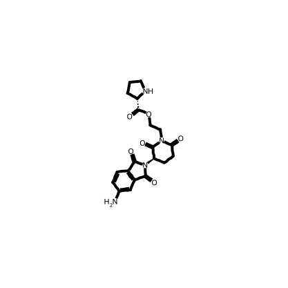 Nc1ccc2c(c1)C(=O)N([C@@H]1CCC(=O)N(CCOC(=O)[C@@H]3CCCN3)C1=O)C2=O